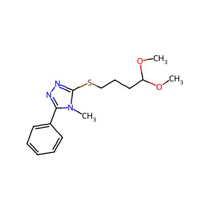 COC(CCCSc1nnc(-c2ccccc2)n1C)OC